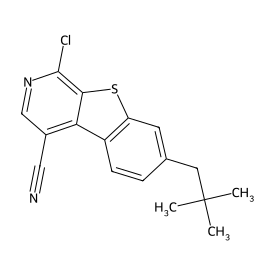 CC(C)(C)Cc1ccc2c(c1)sc1c(Cl)ncc(C#N)c12